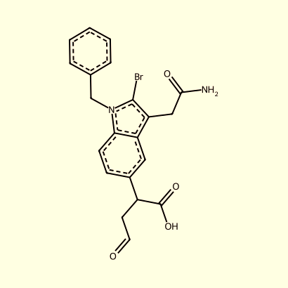 NC(=O)Cc1c(Br)n(Cc2ccccc2)c2ccc(C(CC=O)C(=O)O)cc12